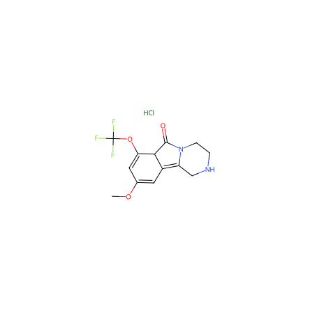 COC1=CC2=C3CNCCN3C(=O)C2C(OC(F)(F)F)=C1.Cl